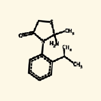 CC(C)c1ccccc1N1C(=O)CSC1(C)N